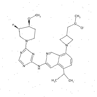 CO[C@H]1CCN(c2ncnc(Nc3cc4c(C(C)C)ccc(N5CC(C[S+](C)[O-])C5)c4cn3)n2)C[C@H]1F